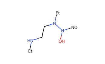 CCNCCN(CC)N(O)N=O